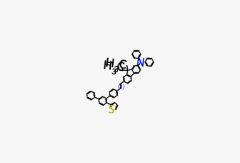 CCC1(CC)c2cc(/C=C/c3ccc(-c4cc(-c5ccccc5)ccc4-c4cccs4)cc3)ccc2-c2ccc(N(c3ccccc3)c3ccccc3)cc21